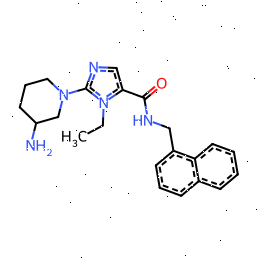 CCn1c(C(=O)NCc2cccc3ccccc23)cnc1N1CCCC(N)C1